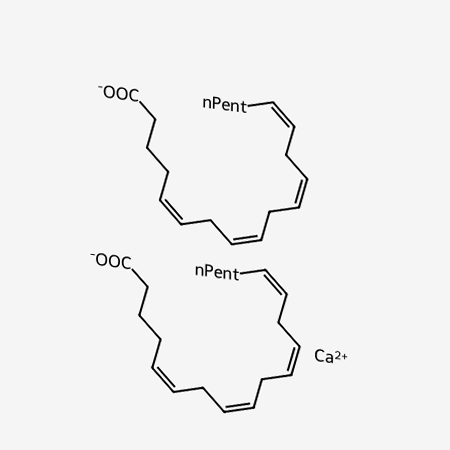 CCCCC/C=C\C/C=C\C/C=C\C/C=C\CCCC(=O)[O-].CCCCC/C=C\C/C=C\C/C=C\C/C=C\CCCC(=O)[O-].[Ca+2]